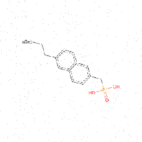 CCCCCCCCCCCCc1ccc2cc(CP(=O)(O)O)ccc2c1